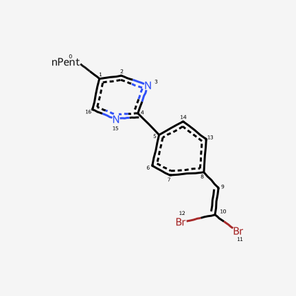 CCCCCc1cnc(-c2ccc(C=C(Br)Br)cc2)nc1